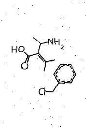 CC(C)=C(C(=O)O)C(C)N.ClCc1ccccc1